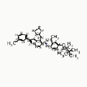 CCc1cc(O[Si](C)(C)C(C)(C)C)ccc1/N=C(\N)c1cnn2cc(-c3cccc(C)c3)cc2c1NC1CCCC1